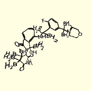 BC(B)(Nc1cccc2c1C(B)(O)N(C1C(=O)NC(=O)C(B)(B)C1(B)B)C2=O)c1cc(C(B)(B)N2CCOCC2)ccc1F